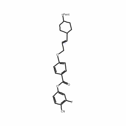 CCCCCC1CCC(/C=C/COc2ccc(C(=O)Oc3ccc(C#N)c(F)c3)cc2)CC1